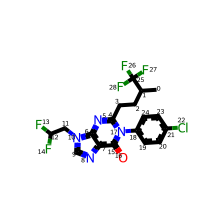 CC(CCc1nc2c(ncn2CC(F)F)c(=O)n1-c1ccc(Cl)cc1)C(F)(F)F